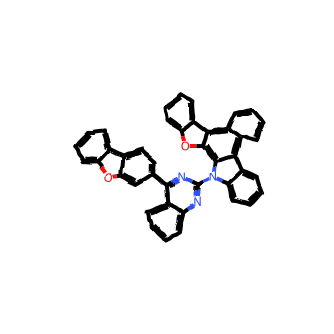 c1ccc2c(-c3ccc4c(c3)oc3ccccc34)nc(-n3c4ccccc4c4c5ccccc5c5c6ccccc6oc5c43)nc2c1